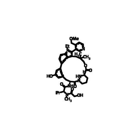 CCn1c(-c2cnccc2COC)c2c3cc(ccc31)-c1cc(O)cc(c1)C[C@H](NC(=O)C(C(C)C)N(C)C(=O)CO)C(=O)N1CCC[C@H](N1)C(=O)OCC(C)(C)C2